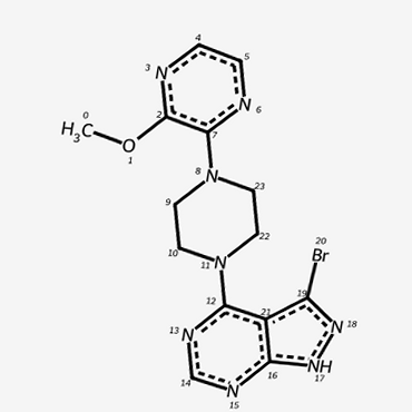 COc1nccnc1N1CCN(c2ncnc3[nH]nc(Br)c23)CC1